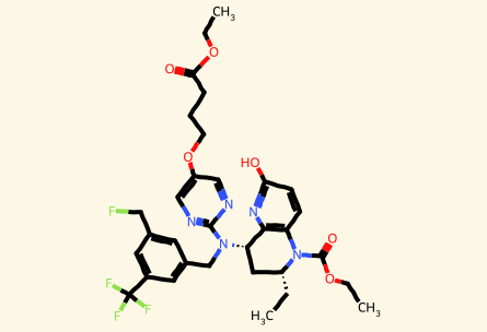 CCOC(=O)CCCOc1cnc(N(Cc2cc(CF)cc(C(F)(F)F)c2)[C@H]2C[C@@H](CC)N(C(=O)OCC)c3ccc(O)nc32)nc1